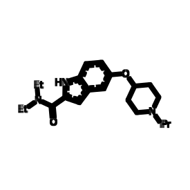 CCN(CC)C(=O)c1cc2cc(OC3CCN(C(C)C)CC3)ccc2[nH]1